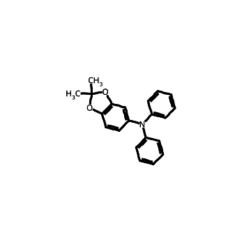 CC1(C)Oc2ccc(N(c3ccccc3)c3ccccc3)cc2O1